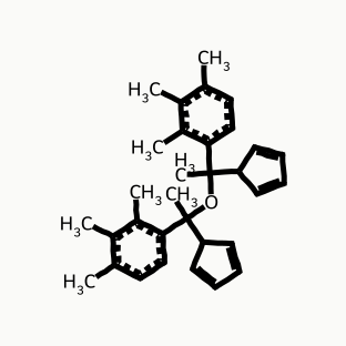 Cc1ccc(C(C)(OC(C)(c2ccc(C)c(C)c2C)C2C=CC=C2)C2C=CC=C2)c(C)c1C